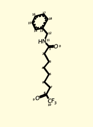 O=C(CCCCCCC(=O)C(F)(F)F)NCc1ccccc1